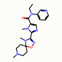 CCN(C(=O)c1cnc(C2=NOC3(CCN(C)CC3)N2C)n1C)c1cccnc1